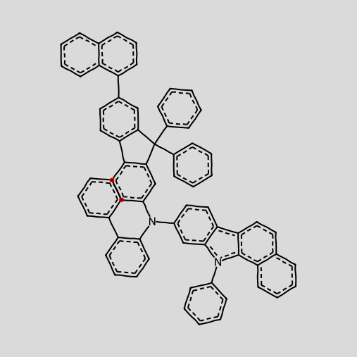 c1ccc(-c2ccccc2N(c2ccc3c(c2)C(c2ccccc2)(c2ccccc2)c2cc(-c4cccc5ccccc45)ccc2-3)c2ccc3c4ccc5ccccc5c4n(-c4ccccc4)c3c2)cc1